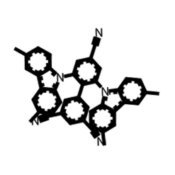 Cc1ccc2c(c1)c1cc(C)ccc1n2-c1cc(C#N)cc(-n2c3ccc(C)cc3c3cc(C)ccc32)c1-c1cc(C#N)cc(C#N)c1